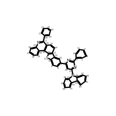 c1ccc(-c2nc(-c3ccc4sc5c(ccc6c(-c7ccccc7)nc7ccccc7c65)c4c3)cc(-n3c4ccccc4c4ccccc43)n2)cc1